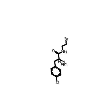 Cl.NC(Cc1ccc(Cl)cc1)C(=O)NCCBr